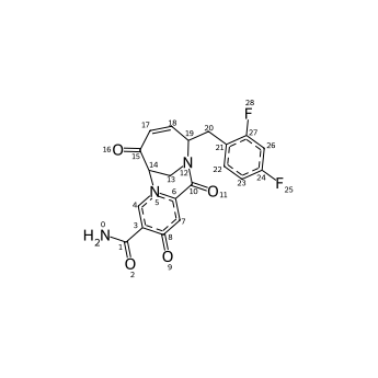 NC(=O)c1cn2c(cc1=O)C(=O)N1CC2C(=O)C=CC1Cc1ccc(F)cc1F